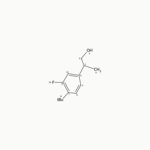 C[C](CO)c1ccc(C(C)(C)C)c(F)c1